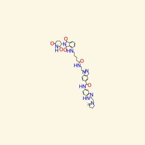 C[C@H]1CCCN1Cc1nc2cc(NC(=O)c3ccc4c(cnn4CCNC(=O)CCCCNc4cccc5c4C(=O)N(C4CCC(=O)NC4=O)C5=O)c3)ccc2[nH]1